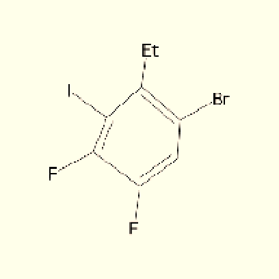 CCc1c(Br)cc(F)c(F)c1I